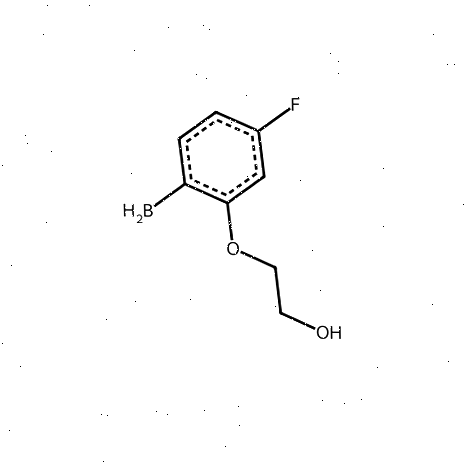 Bc1ccc(F)cc1OCCO